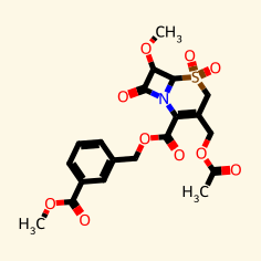 COC(=O)c1cccc(COC(=O)C2=C(COC(C)=O)CS(=O)(=O)C3C(OC)C(=O)N23)c1